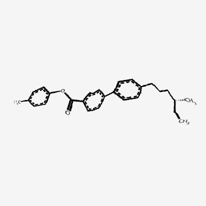 CC[C@@H](C)CCCc1ccc(-c2ccc(C(=O)Oc3ccc(C)cc3)cc2)cc1